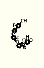 C#Cc1ccc(N2CCN(Cc3ccc(COc4cccc5c4CN([C@@H]4CCC(=O)NC4=O)C5=O)c(F)c3)CC2)c(F)c1